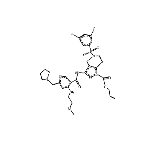 CCCOC(=O)n1nc(NC(=O)c2ccc(CN3CCCC3)cc2NCCOC)c2c1CCN(S(=O)(=O)c1cc(F)cc(F)c1)C2